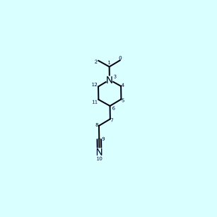 CC(C)N1CCC(CCC#N)CC1